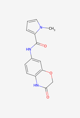 Cn1cccc1C(=O)Nc1ccc2c(c1)OCC(=O)N2